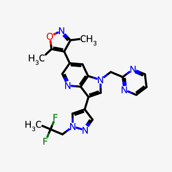 Cc1noc(C)c1-c1cnc2c(-c3cnn(CC(C)(F)F)c3)cn(Cc3ncccn3)c2c1